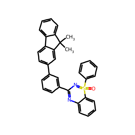 CC1(C)c2ccccc2-c2ccc(-c3cccc(C4=Nc5ccccc5S(=O)(c5ccccc5)=N4)c3)cc21